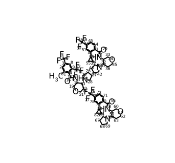 Cc1cc(C(F)(F)F)cc(C(F)(F)F)c1C(=O)N[C@H]1COCC[C@@H]1N1CCCC1.O=C(NC1COCCC1N1CCCC1)c1ccc(C(F)(F)F)cc1C1CC1.O=C(NC1COCCC1N1CCCC1)c1ccc(C(F)(F)F)cc1C1CC1